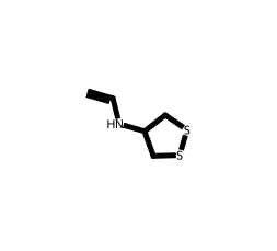 C=CNC1CSSC1